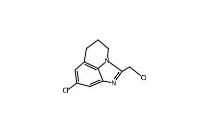 ClCc1nc2cc(Cl)cc3c2n1CCC3